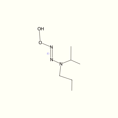 CCCN(/N=N/OO)C(C)C